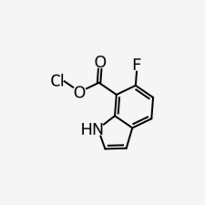 O=C(OCl)c1c(F)ccc2cc[nH]c12